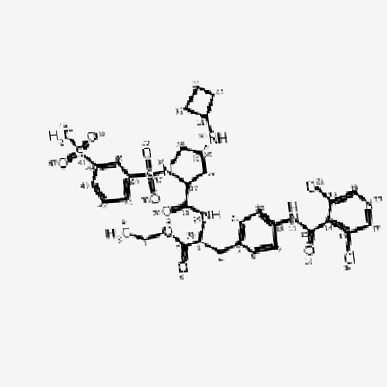 CCOC(=O)[C@H](Cc1ccc(NC(=O)c2c(Cl)cncc2Cl)cc1)NC(=O)C1C[C@@H](NC2CCC2)CN1S(=O)(=O)c1cccc(S(C)(=O)=O)c1